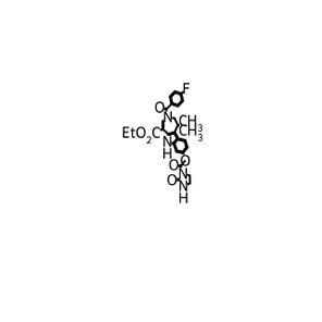 CCOC(=O)C1=CN(C(=O)c2ccc(F)cc2)CC(C)(C)c2c1[nH]c1cc(OC(=O)N3CCNC3=O)ccc21